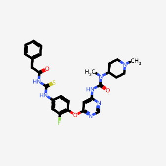 CN1CCC(N(C)C(=O)Nc2cc(Oc3ccc(NC(=S)NC(=O)Cc4ccccc4)cc3F)ncn2)CC1